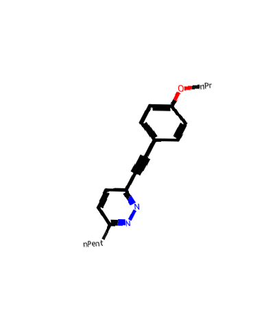 CCCCCc1ccc(C#Cc2ccc(OCCC)cc2)nn1